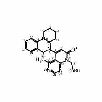 CCCCOn1c(=O)cc(NCc2ccccc2N2CCCCC2)c2c(C)ncnc21